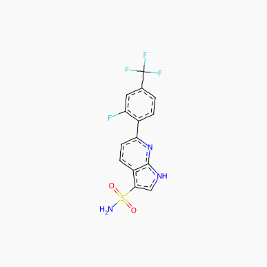 NS(=O)(=O)c1c[nH]c2nc(-c3ccc(C(F)(F)F)cc3F)ccc12